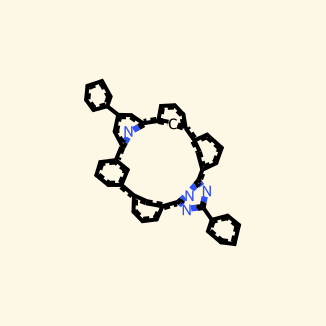 c1ccc(-c2cc3nc(c2)c2cccc(c2)c2cccc(c2)c2nc(-c4ccccc4)nc(n2)c2cccc(c2)c2cccc3c2)cc1